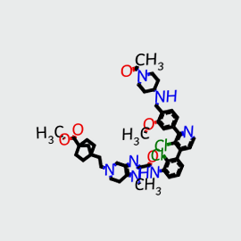 COC(=O)C12CCC(CCN3CCc4c(nc(C(=O)Nc5cccc(-c6ccnc(-c7ccc(CNC8CCN(C(C)=O)CC8)c(OC)c7)c6Cl)c5Cl)n4C)C3)(CC1)C2